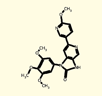 COc1ccc(-c2cc3c(cn2)[nH]c(=O)n3-c2cc(OC)c(OC)c(OC)c2)cn1